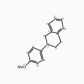 COc1ccc(N2CCc3ncncc3C2)cn1